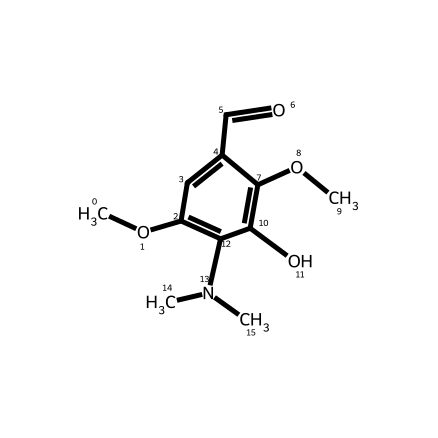 COc1cc(C=O)c(OC)c(O)c1N(C)C